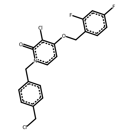 O=c1c(Cl)c(OCc2ccc(F)cc2F)ccn1Cc1ccc(CCl)cc1